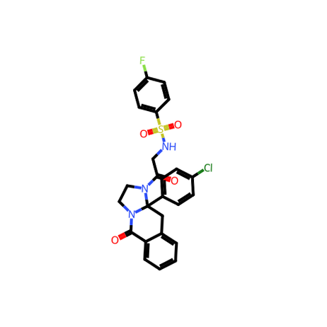 O=C(CNS(=O)(=O)c1ccc(F)cc1)N1CCN2C(=O)c3ccccc3CC12c1ccc(Cl)cc1